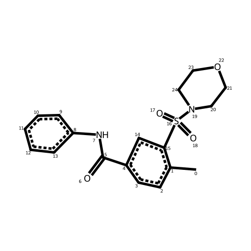 Cc1ccc(C(=O)Nc2ccccc2)cc1S(=O)(=O)N1CCOCC1